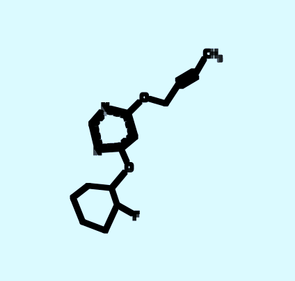 CC#CCOc1cc(OC2CCCCC2F)ncn1